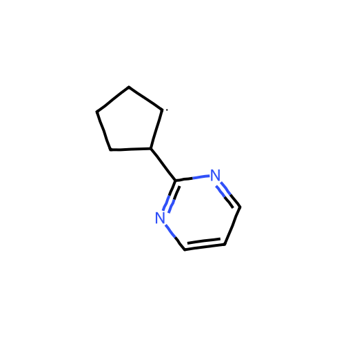 [CH]1CCCC1c1ncccn1